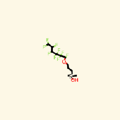 C[Si](C)(O)CCCOC(F)C(F)(F)C(F)(F)C(F)C(F)C(F)F